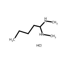 CCCCC(NC)NC.Cl